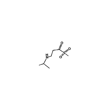 CC(C)NCCC(=O)S(C)(=O)=O